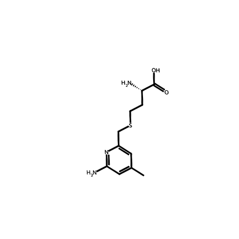 Cc1cc(N)nc(CSCC[C@H](N)C(=O)O)c1